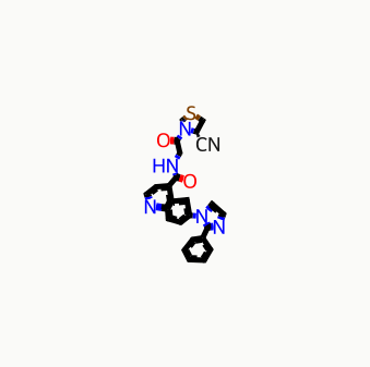 N#C[C@@H]1CSCN1C(=O)CNC(=O)c1ccnc2ccc(-n3ccnc3-c3ccccc3)cc12